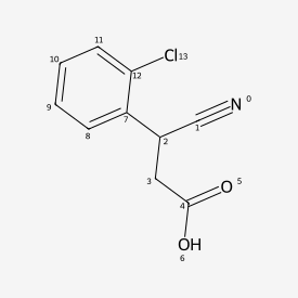 N#CC(CC(=O)O)c1ccccc1Cl